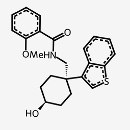 COc1ccccc1C(=O)NC[C@]1(c2csc3ccccc32)CC[C@@H](O)CC1